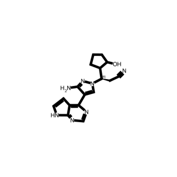 N#CC[C@H](C1CCCC1O)n1cc(-c2ncnc3[nH]ccc23)c(N)n1